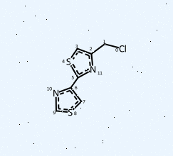 ClCc1csc(-c2cscn2)n1